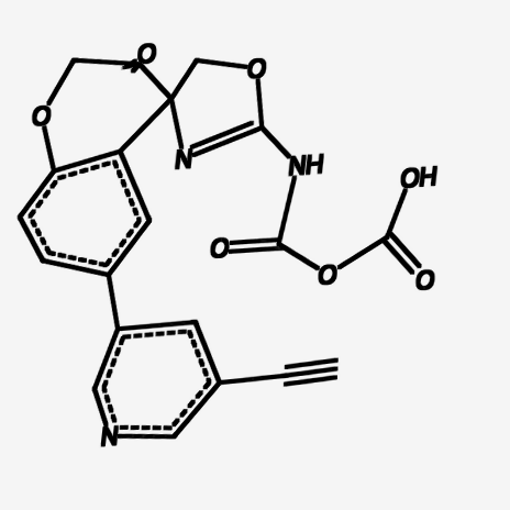 C#Cc1cncc(-c2ccc3c(c2)C2(COC(NC(=O)OC(=O)O)=N2)C2(COC2)CO3)c1